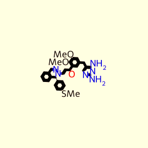 COc1cc(Cc2cnc(N)nc2N)cc(C(=O)/C=C/N2N=Cc3ccccc3[C@H]2c2ccc(SC)cc2)c1OC